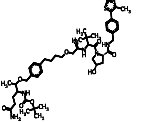 Cc1ncsc1-c1ccc(CNC(=O)[C@@H]2C[C@@H](O)CN2C(=O)C(NC(=O)COCCCCc2ccc(COC(C)C(CCC(N)=O)NC(=O)OC(C)(C)C)cc2)C(C)(C)C)cc1